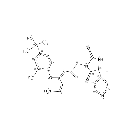 C=C(/C=C(\C=C/N)Oc1ccc(C(O)(C(F)(F)F)C(F)(F)F)cc1CCC)CN1C(=O)NC(C)(c2ccncc2)C1=O